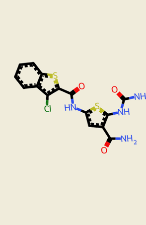 NC(=O)Nc1sc(NC(=O)c2sc3ccccc3c2Cl)cc1C(N)=O